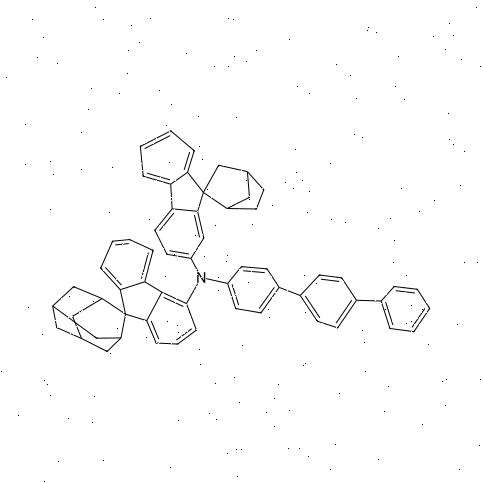 c1ccc(-c2ccc(-c3ccc(N(c4ccc5c(c4)C4(CC6CCC4C6)c4ccccc4-5)c4cccc5c4-c4ccccc4C54C5CC6CC(C5)CC4C6)cc3)cc2)cc1